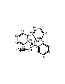 N#C[S][Au]([c]1ccccc1)([c]1ccccc1)[c]1ccccc1